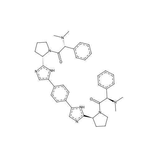 CN(C)[C@@H](C(=O)N1CCC[C@H]1c1ncc(-c2ccc(-c3cnc([C@@H]4CCCN4C(=O)[C@@H](c4ccccc4)N(C)C)[nH]3)cc2)[nH]1)c1ccccc1